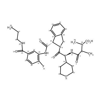 CC(C(=O)N[C@H](C(=O)N1Cc2ccccc2[C@H]1C(=O)Nc1cc(C(=O)NCCN)ccc1F)C1CCOCC1)N(C)C(=O)O